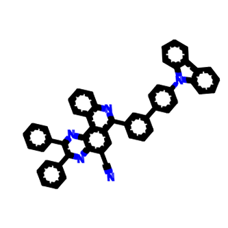 N#Cc1cc2c(-c3cccc(-c4ccc(-n5c6ccccc6c6ccccc65)cc4)c3)nc3ccccc3c2c2nc(-c3ccccc3)c(-c3ccccc3)nc12